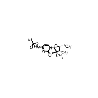 CCC(=O)ONc1ccn([C@@H]2O[C@H](CO)[C@H](O)C2(C)F)c(=O)n1